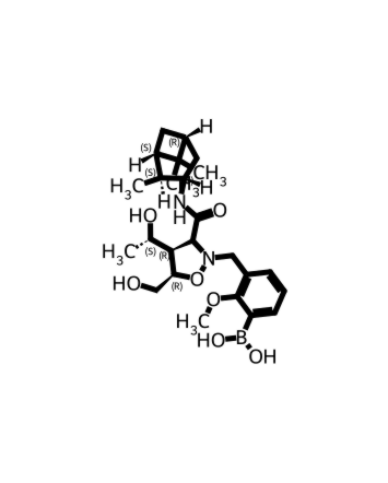 COc1c(CN2O[C@@H](CO)[C@@H]([C@H](C)O)C2C(=O)N[C@H]2C[C@H]3C[C@@H]([C@@H]2C)C3(C)C)cccc1B(O)O